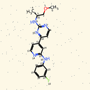 COC[C@H](C)Nc1nccc(-c2ccnc(Nc3cccc(F)c3)c2)n1